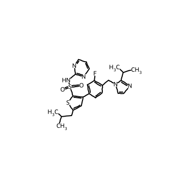 CC(C)Cc1cc(-c2ccc(Cn3ccnc3C(C)C)c(F)c2)c(S(=O)(=O)Nc2ncccn2)s1